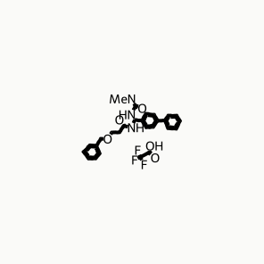 CNC(=O)NC(NC(=O)CCOCc1ccccc1)c1ccc(-c2ccccc2)cc1.O=C(O)C(F)(F)F